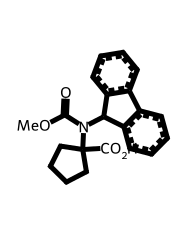 COC(=O)N(C1c2ccccc2-c2ccccc21)C1(C(=O)O)CCCC1